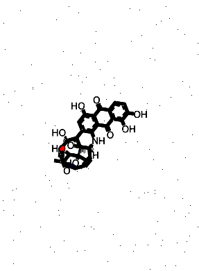 CC(=O)C(O)C(C)(O)[C@@]12OC13c1cc(O)c4c(c1N[C@H]2C#C/C=C\C#C[C@H]3O)C(=O)c1c(ccc(O)c1O)C4=O